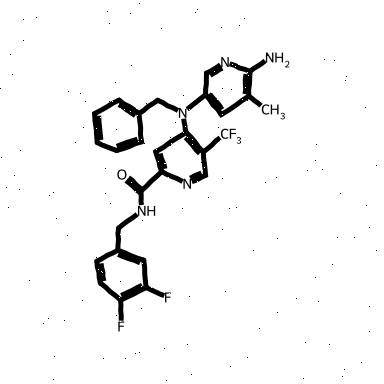 Cc1cc(N(Cc2ccccc2)c2cc(C(=O)NCc3ccc(F)c(F)c3)ncc2C(F)(F)F)cnc1N